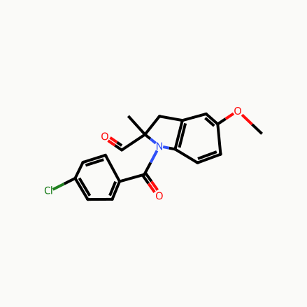 COc1ccc2c(c1)CC(C)(C=O)N2C(=O)c1ccc(Cl)cc1